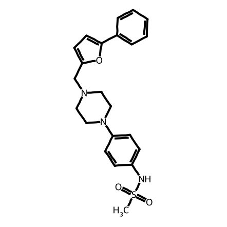 CS(=O)(=O)Nc1ccc(N2CCN(Cc3ccc(-c4ccccc4)o3)CC2)cc1